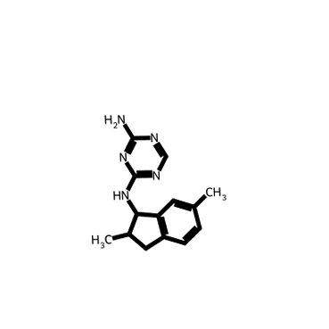 Cc1ccc2c(c1)C(Nc1ncnc(N)n1)C(C)C2